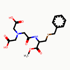 COC(=O)C(CSCc1ccccc1)NC(=O)CN(CC(=O)O)CC(=O)O